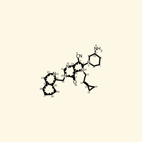 N#Cc1c(N2CCC[C@H](N)C2)n(CC=C2CC2)c2c(=O)n(Cc3nccc4ccccc34)cnc12